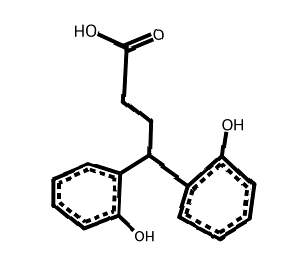 O=C(O)CCC(c1ccccc1O)c1ccccc1O